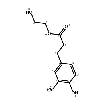 CC(C)(C)c1cc(CCC(=O)OCCO)ccc1O